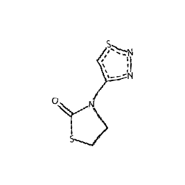 O=C1SCCN1c1csnn1